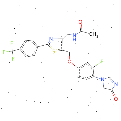 CC(=O)NCc1nc(-c2ccc(C(F)(F)F)cc2)sc1COc1ccc(N2C=NC(=O)C2)c(F)c1